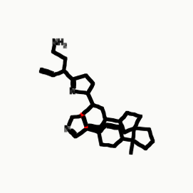 C=CC(CCN)C1=NC(C2CC=CC(C3CCC4(CCCC4(C)C4C=CC(C5C=NCC5)CC4)C3)C2)CC1